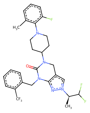 Cc1cccc(F)c1N1CCC(N2Cc3cn([C@H](C)C(F)F)nc3N(Cc3ccccc3C(F)(F)F)C2=O)CC1